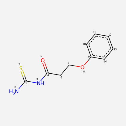 NC(=S)NC(=O)CCOc1ccccc1